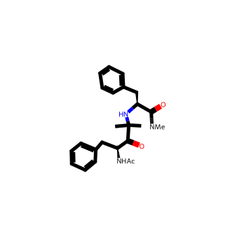 CNC(=O)[C@H](Cc1ccccc1)NC(C)(C)C(=O)[C@H](Cc1ccccc1)NC(C)=O